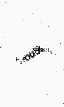 CCOC1CCC(C2CCC(C3CCC(C)CC3)CC2)C(F)C1Cl